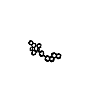 c1ccc(N(c2ccc(-c3ccc4ccc5c6ccccc6ccc5c4c3)cc2)c2cccc3oc4c5ccccc5ccc4c23)cc1